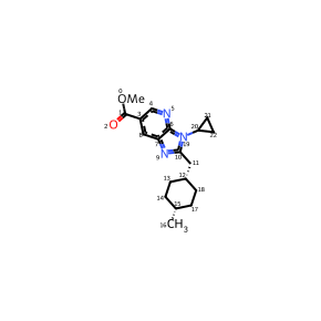 COC(=O)c1cnc2c(c1)nc(C[C@H]1CC[C@@H](C)CC1)n2C1CC1